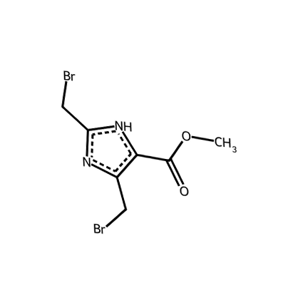 COC(=O)c1[nH]c(CBr)nc1CBr